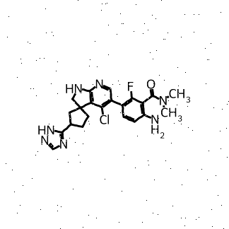 CN(C)C(=O)c1c(N)ccc(-c2cnc3c(c2Cl)C2(CCC(c4ncn[nH]4)C2)CN3)c1F